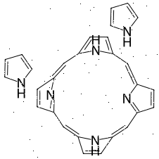 C1=Cc2cc3ccc(cc4nc(cc5ccc(cc1n2)[nH]5)C=C4)[nH]3.c1cc[nH]c1.c1cc[nH]c1